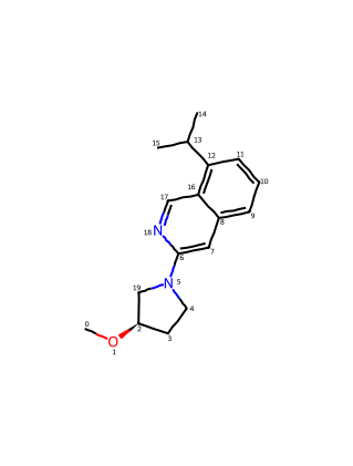 CO[C@@H]1CCN(c2cc3cccc(C(C)C)c3cn2)C1